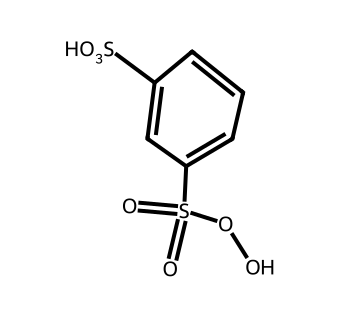 O=S(=O)(O)c1cccc(S(=O)(=O)OO)c1